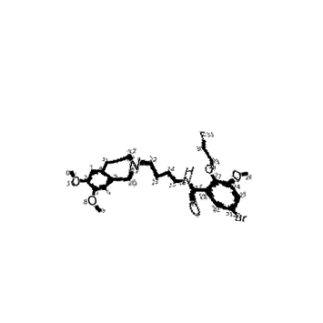 COc1cc2c(cc1OC)CN(CCCCNC(=O)c1cc(Br)cc(OC)c1OCCF)CC2